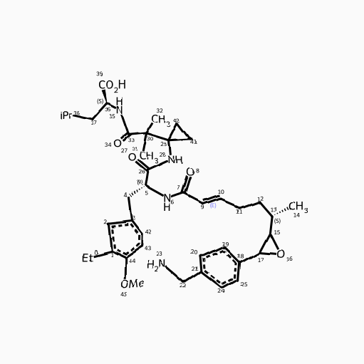 CCc1cc(C[C@@H](NC(=O)/C=C/CC[C@H](C)C2OC2c2ccc(CN)cc2)C(=O)NC2(C(C)(C)C(=O)N[C@@H](CC(C)C)C(=O)O)CC2)ccc1OC